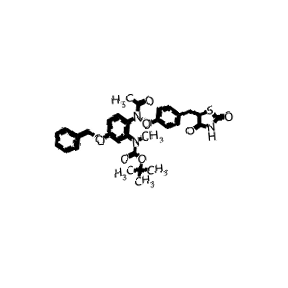 CC(=O)N(Oc1ccc(CC2SC(=O)NC2=O)cc1)c1ccc(OCc2ccccc2)cc1N(C)C(=O)OC(C)(C)C